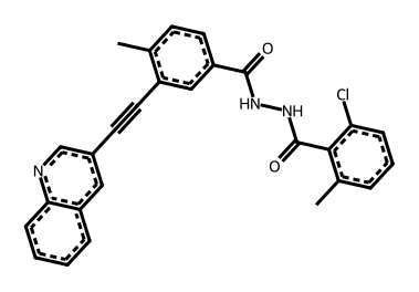 Cc1ccc(C(=O)NNC(=O)c2c(C)cccc2Cl)cc1C#Cc1cnc2ccccc2c1